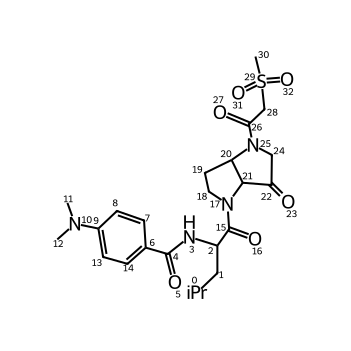 CC(C)CC(NC(=O)c1ccc(N(C)C)cc1)C(=O)N1CCC2C1C(=O)CN2C(=O)CS(C)(=O)=O